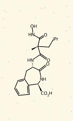 CC(C)C[C@@](C)(C(=O)NO)C(=O)N[C@H]1Cc2ccccc2[C@H](C(=O)O)NC1=O